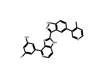 Cc1ccncc1-c1ccc2[nH]nc(-c3nc4c(-c5cc(O)cc(F)c5)nccc4[nH]3)c2c1